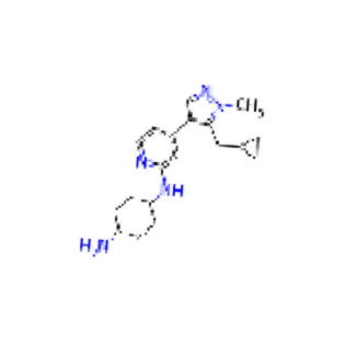 Cn1ncc(-c2ccnc(NC3CCC(N)CC3)c2)c1CC1CC1